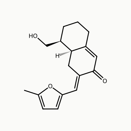 Cc1ccc(C=C2C[C@@H]3C(=CC2=O)CCC[C@@H]3CO)o1